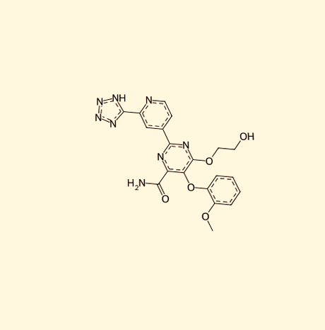 COc1ccccc1Oc1c(OCCO)nc(-c2ccnc(-c3nnn[nH]3)c2)nc1C(N)=O